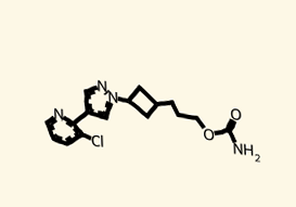 NC(=O)OCCCC1CC(n2cc(-c3ncccc3Cl)cn2)C1